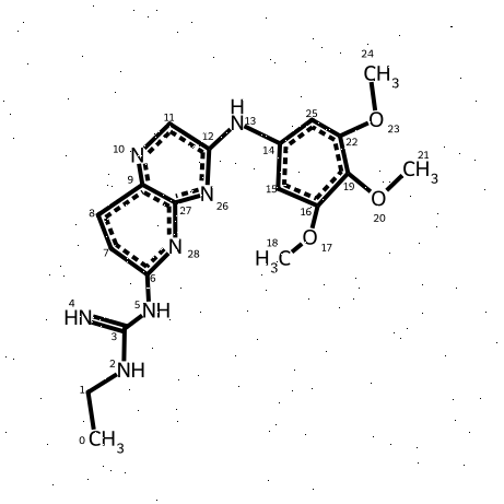 CCNC(=N)Nc1ccc2ncc(Nc3cc(OC)c(OC)c(OC)c3)nc2n1